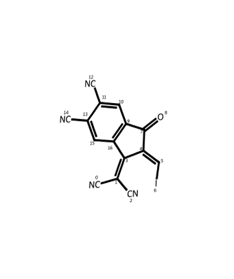 N#CC(C#N)=C1/C(=C\I)C(=O)c2cc(C#N)c(C#N)cc21